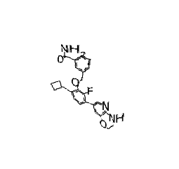 NC(=O)c1cccc(COc2c(C3CCC3)ccc(-c3cnc4c(c3)OCCN4)c2F)c1